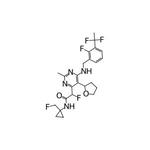 Cc1nc(NCc2cccc(C(C)(F)F)c2F)c(C2CCCO2)c(C(F)C(=O)NC2(CF)CC2)n1